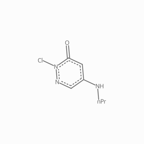 CCCNc1cnn(Cl)c(=O)c1